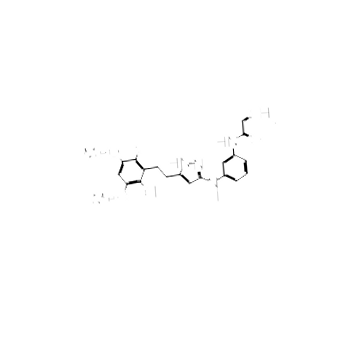 C=CC(=O)Nc1cccc(Nc2cc(CCc3c(Cl)c(OC)cc(OC)c3Cl)[nH]n2)c1